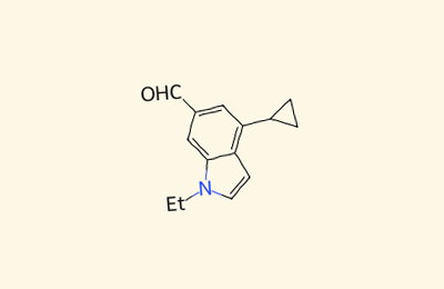 CCn1ccc2c(C3CC3)cc(C=O)cc21